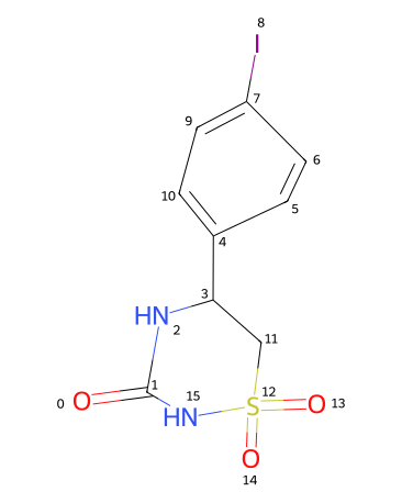 O=C1NC(c2ccc(I)cc2)CS(=O)(=O)N1